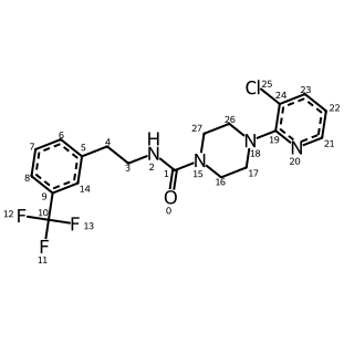 O=C(NCCc1cccc(C(F)(F)F)c1)N1CCN(c2ncccc2Cl)CC1